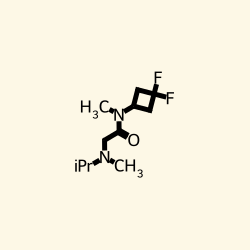 CC(C)N(C)CC(=O)N(C)C1CC(F)(F)C1